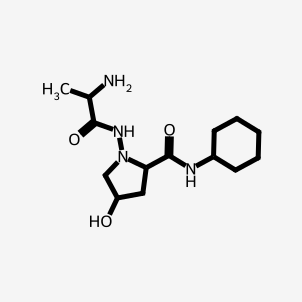 CC(N)C(=O)NN1CC(O)CC1C(=O)NC1CCCCC1